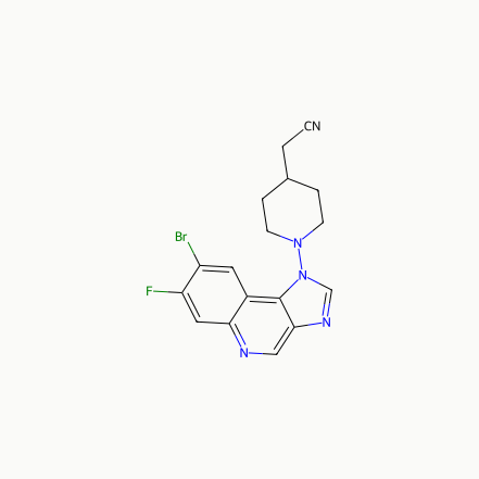 N#CCC1CCN(n2cnc3cnc4cc(F)c(Br)cc4c32)CC1